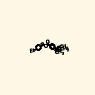 C=C[Si](C)(C=C)c1ccc(C(=O)OO[C]2CCC(CC)CC2)cc1